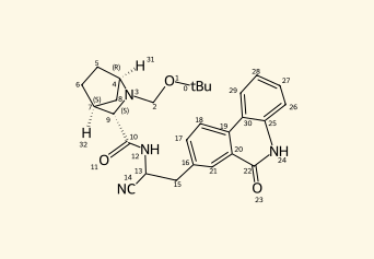 CC(C)(C)OCN1[C@@H]2CC[C@@H](C2)[C@H]1C(=O)NC(C#N)Cc1ccc2c(c1)c(=O)[nH]c1ccccc12